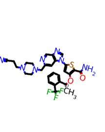 C[C@@H](Oc1cc(-n2cnc3cnc(CN4CCN(CCC#N)CC4)cc32)sc1C(N)=O)c1ccccc1C(F)(F)F